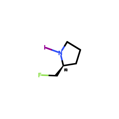 FC[C@@H]1CCCN1I